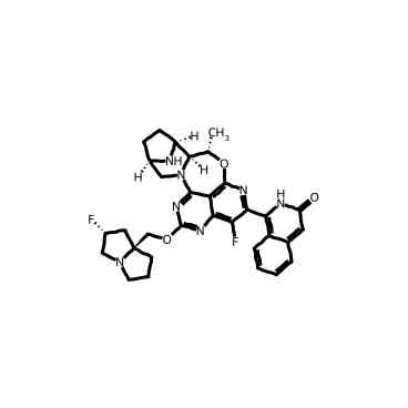 C[C@@H]1Oc2nc(-c3[nH]c(=O)cc4ccccc34)c(F)c3nc(OC[C@@]45CCCN4C[C@H](F)C5)nc(c23)N2C[C@H]3CC[C@H](N3)[C@@H]12